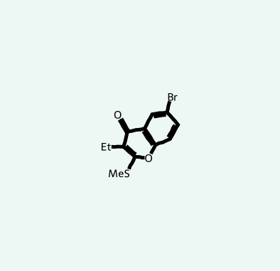 CCc1c(SC)oc2ccc(Br)cc2c1=O